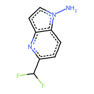 Nn1ccc2nc(C(F)F)ccc21